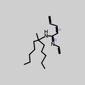 C=C/C=C\C(=N/C=C)NC(C)(CCCCC)CCCCC